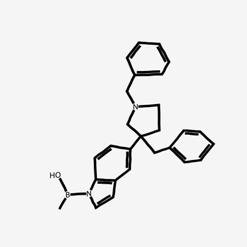 CB(O)n1ccc2cc(C3(Cc4ccccc4)CCN(Cc4ccccc4)C3)ccc21